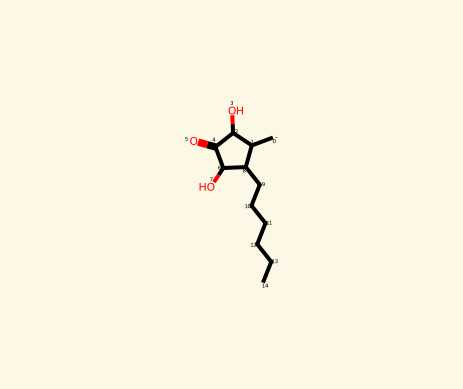 [CH2]C1C(O)C(=O)C(O)C1CCCCCC